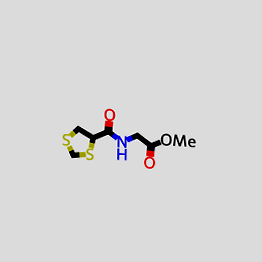 COC(=O)CNC(=O)C1CSCS1